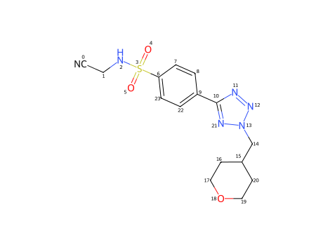 N#CCNS(=O)(=O)c1ccc(-c2nnn(CC3CCOCC3)n2)cc1